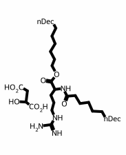 CCCCCCCCCCCCCCCCOC(=O)C(CCCNC(=N)N)NC(=O)CCCCCCCCCCCCCCC.O=C(O)CC(O)C(=O)O